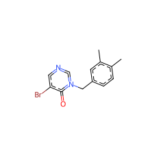 Cc1ccc(Cn2cncc(Br)c2=O)cc1C